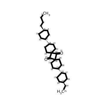 CCCC[C@H]1CC[C@H](C2CCC3(CC2)C(=O)C2(CCC([C@H]4CC[C@H](CC)CC4)CC2)C3=O)CC1